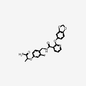 CC(Oc1ccc(CNC(=O)c2cccnc2Oc2ccc3c(c2)OCO3)c(F)c1)C(N)=O